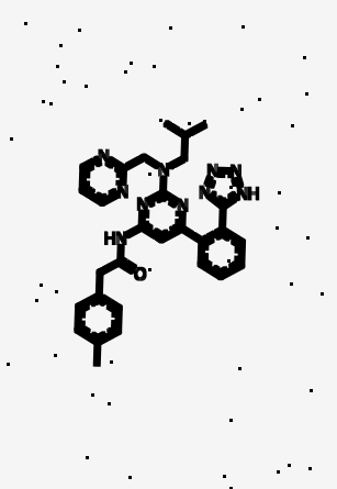 Cc1ccc(CC(=O)Nc2cc(-c3ccccc3-c3nnn[nH]3)nc(N(Cc3ncccn3)CC(C)C)n2)cc1